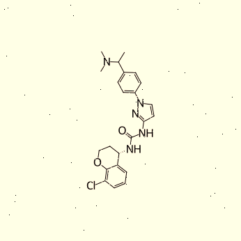 CC(c1ccc(-n2ccc(NC(=O)N[C@H]3CCOc4c(Cl)cccc43)n2)cc1)N(C)C